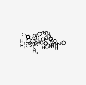 Cc1sc2c(c1C)C(c1ccc(Cl)cc1)=N[C@@H](CC(=O)N1CCC(CN3CCN(Cc4ccc(-n5c(C(=O)NCCN6CCCCC6)nnc5-c5cc(C(C)C)c(O)cc5O)cc4)CC3)CC1)c1nnc(C)n1-2